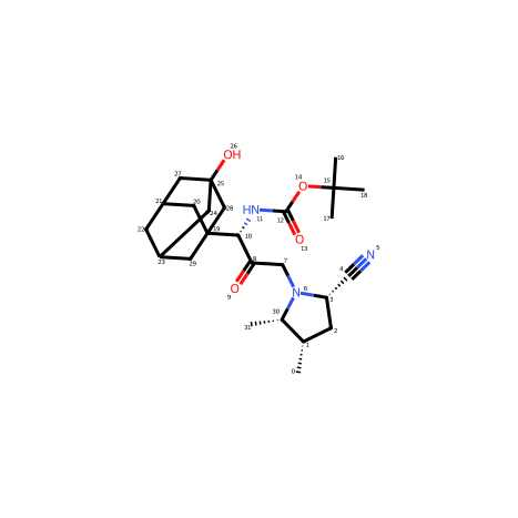 C[C@H]1C[C@@H](C#N)N(CC(=O)[C@@H](NC(=O)OC(C)(C)C)C23CC4CC(CC(O)(C4)C2)C3)[C@H]1C